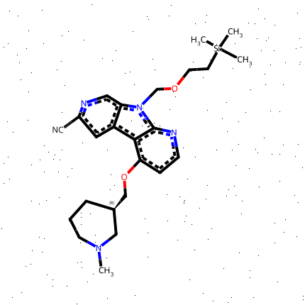 CN1CCC[C@@H](COc2ccnc3c2c2cc(C#N)ncc2n3COCC[Si](C)(C)C)C1